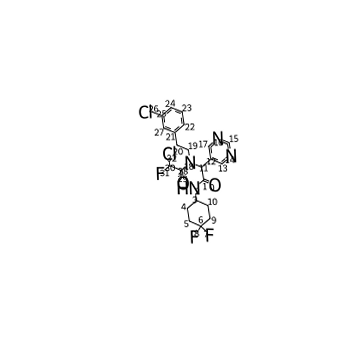 O=C(NC1CCC(F)(F)CC1)C(c1cncnc1)N(CCc1cccc(Cl)c1)C(=O)C(F)Cl